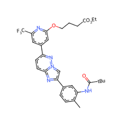 CCOC(=O)CCCOc1cc(-c2ccc3nc(-c4ccc(C)c(NC(=O)C(C)(C)C)c4)cn3n2)cc(C(F)(F)F)n1